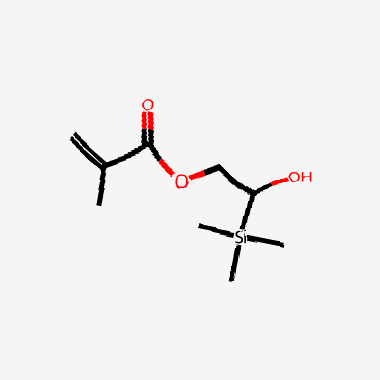 C=C(C)C(=O)OCC(O)[Si](C)(C)C